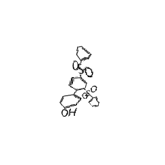 O=S(=O)(c1ccccc1)c1ccc(-c2ccc(O)cc2)c(S(=O)(=O)c2ccccc2)c1